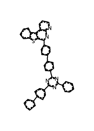 c1ccc(-c2ccc(-c3nc(-c4ccccc4)nc(-c4ccc(-c5ccc(-c6nc7ncccc7c7c6sc6ccccc67)cc5)cc4)n3)cc2)cc1